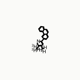 [2H]C([2H])([2H])c1cnc(-c2ccc3ccc4ccccc4c3c2)cc1C([2H])([2H])[2H]